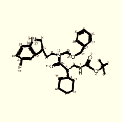 CC(C)(C)OC(=O)NC[C@H](C(=O)N(CCC1CNc2ccc(F)cc21)COCc1ccccc1)C1CCCCC1